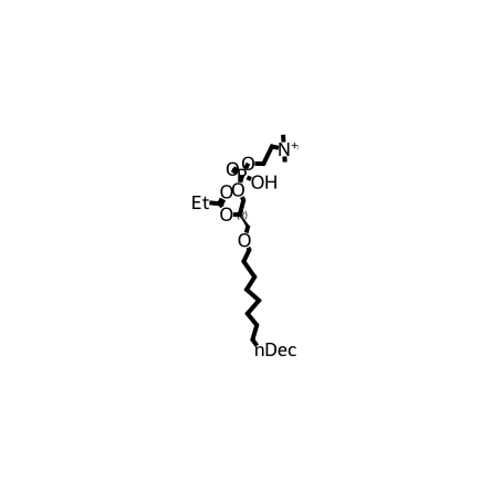 CCCCCCCCCCCCCCCCCCOC[C@H](COP(=O)(O)OCC[N+](C)(C)C)OC(=O)CC